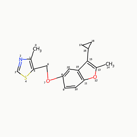 Cc1ncsc1COc1ccc2oc(C)c(C3CC3)c2c1